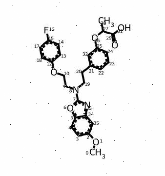 COc1ccc2oc(N(CCOc3ccc(F)cc3)CCc3cccc(OC(C)C(=O)O)c3)nc2c1